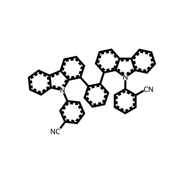 N#Cc1cccc(-n2c3ccccc3c3cccc(-c4ccccc4-c4cccc5c6ccccc6n(-c6ccccc6C#N)c45)c32)c1